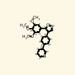 COc1cc(-c2oncc2-c2ccc(-c3cccnc3)cc2)cc(OC)c1OC